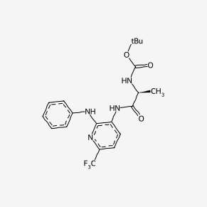 C[C@H](NC(=O)OC(C)(C)C)C(=O)Nc1ccc(C(F)(F)F)nc1Nc1ccccc1